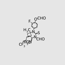 C\C=C(/C=C\C(C#N)=C\C(F)(F)F)N(C=O)C(=S)N(c1ccc(OC=O)c(F)c1)C1(C)CCC1